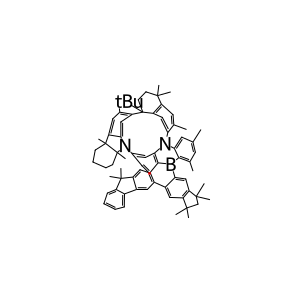 Cc1cc(C)c2c(c1)N1c3cc4c(cc3C)C(C)(C)CCC4(C)c3cc4c(cc3C(C)(C)C)C3(C)CCCCC3(C)N4c3ccc(c1c3)B2c1cc2c(cc1-c1ccc3c(c1)-c1ccccc1C3(C)C)C(C)(C)CC2(C)C